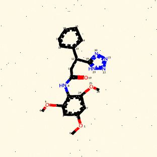 COc1cc(OC)c(NC(=O)CC(c2ccccc2)c2nnn[nH]2)c(OC)c1